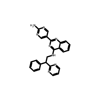 Nc1ncc(-c2nc(NCC(c3ccccc3)c3ncccn3)c3ccccc3n2)cn1